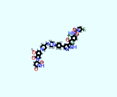 COc1cc(N2CCC(CN3CCN(c4ccc(-c5cnc6[nH]cc(C(=O)c7c(F)ccc(NS(=O)(=O)N8CC[C@@H](F)C8)c7F)c6c5)cc4)CC3)CC2)cc2c1C(=O)N(C1CCC(=O)NC1=O)C2